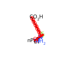 CCCN(OCC)C(=O)C1=Cc2ccc(-c3cnc(CN(C(=O)CCOCCOCCOCCOCCOCCOCCOCCOCCOCCOCCC(=O)O)c4c(F)c(F)cc(F)c4F)nc3)cc2N=C(N)C1